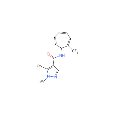 CCCn1ncc(C(=O)NC2C=CC=CC=C2C(F)(F)F)c1C(C)C